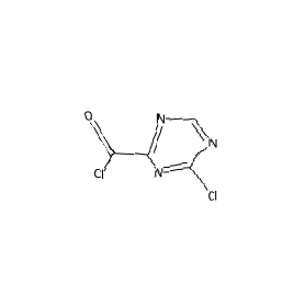 O=C(Cl)c1ncnc(Cl)n1